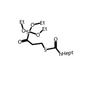 CCCCCCCC(=O)SCCC(=O)[Si](OCC)(OCC)OCC